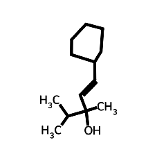 CC(C)C(C)(O)C=CC1CCCCC1